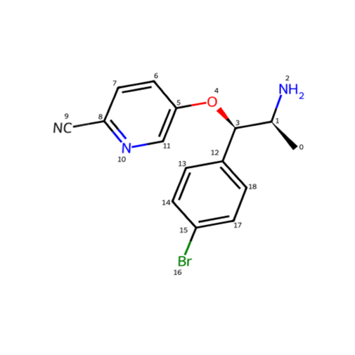 C[C@H](N)[C@H](Oc1ccc(C#N)nc1)c1ccc(Br)cc1